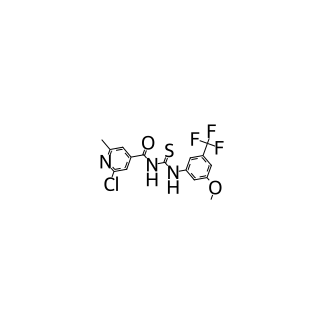 COc1cc(NC(=S)NC(=O)c2cc(C)nc(Cl)c2)cc(C(F)(F)F)c1